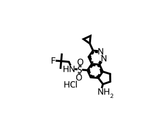 CC(C)(F)CNS(=O)(=O)c1cc2c(c3nnc(C4CC4)cc13)CCC2N.Cl